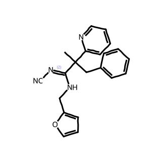 CC(Cc1ccccc1)(/C(=N/C#N)NCc1ccco1)c1ccccn1